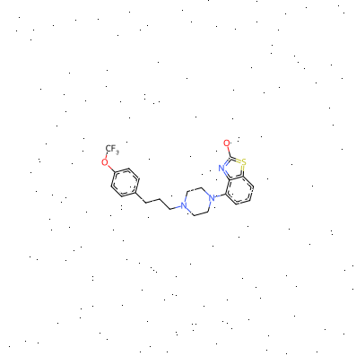 [O]c1nc2c(N3CCN(CCCc4ccc(OC(F)(F)F)cc4)CC3)cccc2s1